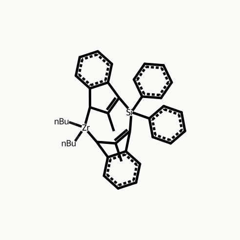 CCC[CH2][Zr]1([CH2]CCC)[CH]2C(C)=C(c3ccccc32)[Si](c2ccccc2)(c2ccccc2)C2=C(C)[CH]1c1ccccc12